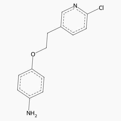 Nc1ccc(OCCc2ccc(Cl)nc2)cc1